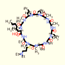 C/C=C/C[C@@H](C)[C@@H](O)[C@H]1C(=O)N[C@@H](CC)C(=O)N(C)[C@H](SCCCN(CC)CC)C(=O)N(C)[C@@H](C(C)CC)C(=O)N[C@H](C(C)C)C(=O)N(C)[C@H](CC(C)C)C(=O)N[C@H](C)C(=O)N[C@@H](C)C(=O)N(C)[C@@H](CC(C)C)C(=O)N(C)[C@@H](CCC(C)C)C(=O)N(C)[C@@H](C(C)C)C(=O)N1C